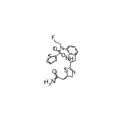 NC(=O)CC1CN=C(C2Cc3cccc(N(CCF)S(=O)(=O)c4cccs4)c3N2)S1